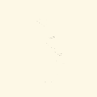 O=C(COc1ccc(C(F)(F)F)nc1)NC12CC(NCC(=O)C3CC(OC(F)(F)F)C3)(C1)C2